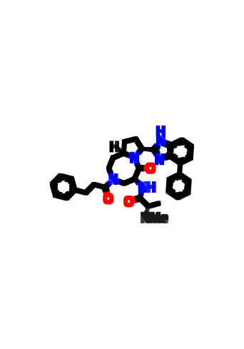 CN[C@@H](C)C(=O)N[C@H]1CN(C(=O)CCc2ccccc2)CC[C@H]2CC[C@@H](c3nc4c(-c5ccccc5)cccc4[nH]3)N2C1=O